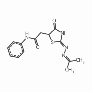 CC(C)=NN=C1NC(=O)C(CC(=O)Nc2ccccc2)S1